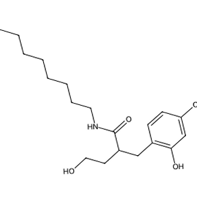 CCCCCCCCNC(=O)C(CCO)Cc1ccc(O)cc1O